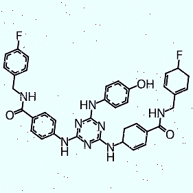 O=C(NCC1=CCC(F)C=C1)C1=CCC(Nc2nc(Nc3ccc(O)cc3)nc(Nc3ccc(C(=O)NCc4ccc(F)cc4)cc3)n2)C=C1